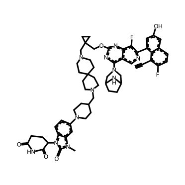 C#Cc1c(F)ccc2cc(O)cc(-c3ncc4c(N5CC6CCC(C5)N6)nc(OCC5(CN6CCC7(CCN(CC8CCN(c9ccc%10c(c9)n(C)c(=O)n%10C9CCC(=O)NC9=O)CC8)CC7)CC6)CC5)nc4c3F)c12